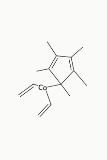 C=[CH][Co]([CH]=C)[C]1(C)C(C)=C(C)C(C)=C1C